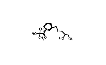 CC(C)(O)C(=O)c1cccc(COCC(O)CO)c1